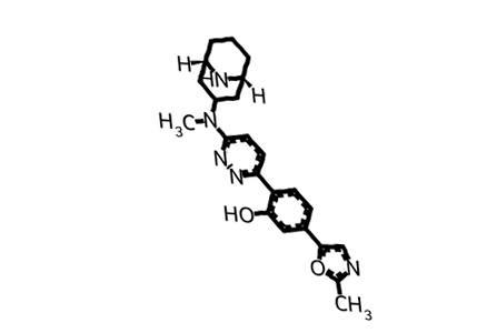 Cc1ncc(-c2ccc(-c3ccc(N(C)C4C[C@H]5CCC[C@@H](C4)N5)nn3)c(O)c2)o1